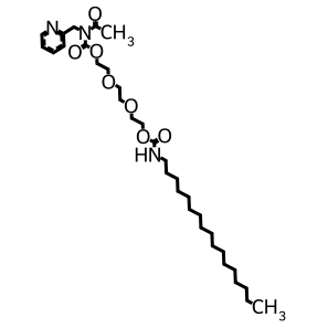 CCCCCCCCCCCCCCCCCNC(=O)OCCOCCOCCOC(=O)N(Cc1ccccn1)C(C)=O